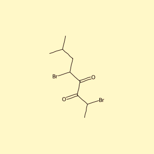 CC(C)CC(Br)C(=O)C(=O)C(C)Br